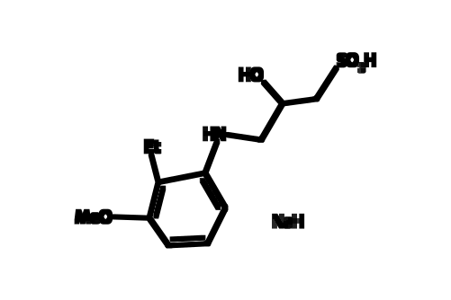 CCc1c(NCC(O)CS(=O)(=O)O)cccc1OC.[NaH]